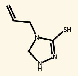 C=CCN1CNN=C1S